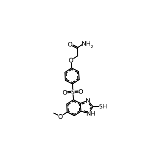 COc1cc(S(=O)(=O)c2ccc(OCC(N)=O)cc2)c2nc(S)[nH]c2c1